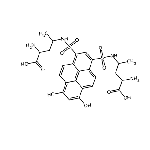 CC(CC(N)C(=O)O)NS(=O)(=O)c1cc(S(=O)(=O)NC(C)CC(N)C(=O)O)c2ccc3c(O)cc(O)c4ccc1c2c43